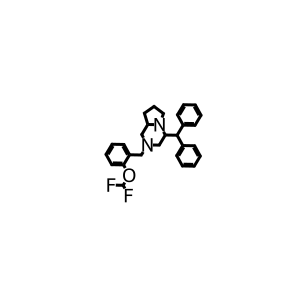 FC(F)Oc1ccccc1CN1CC2CCCN2C(C(c2ccccc2)c2ccccc2)C1